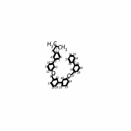 CC(C)Cc1cccc(-c2cccc(OCc3cccc(-c4cccc(OCc5cccc(-c6ccccc6)c5)c4)c3)c2)c1